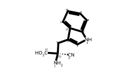 N#C[C@@](N)(Cc1c[nH]c2ccccc12)C(=O)O